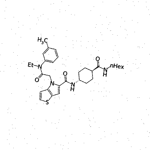 CCCCCCNC(=O)[C@H]1CC[C@H](NC(=O)c2cc3sccc3n2CC(=O)N(CC)c2cccc(C)c2)CC1